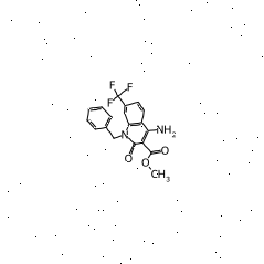 COC(=O)c1c(N)c2ccc(C(F)(F)F)cc2n(Cc2ccccc2)c1=O